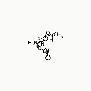 CCNC(=O)N1CCC(c2nc3c(-c4cnn(-c5ccccc5)c4)cnn3c(N)c2Br)CC1